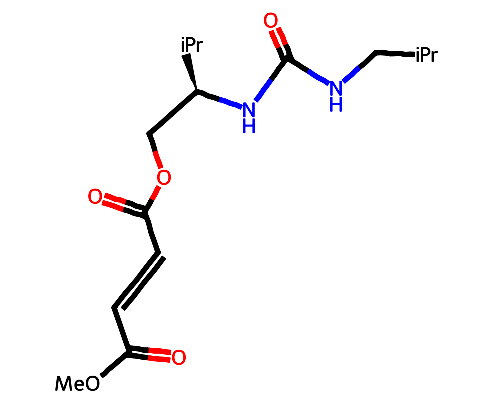 COC(=O)/C=C/C(=O)OC[C@H](NC(=O)NCC(C)C)C(C)C